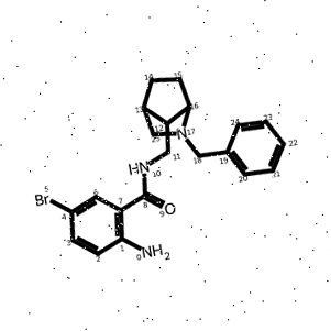 Nc1ccc(Br)cc1C(=O)NCC1C2CCC1N(Cc1ccccc1)C2